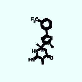 CN1C(=N)N[C@](C)(c2cc(-c3cccc(C(F)(F)F)c3)nn2C)CC1=O